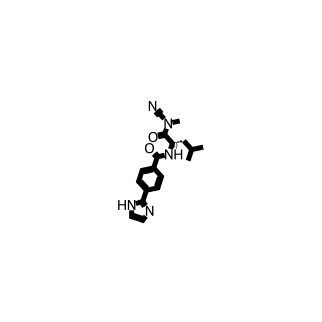 CC(C)C[C@H](NC(=O)c1ccc(-c2ncc[nH]2)cc1)C(=O)N(C)C#N